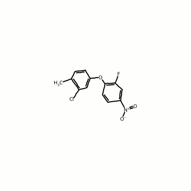 Cc1ccc(Oc2ccc([N+](=O)[O-])cc2F)cc1Cl